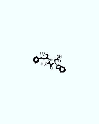 CCC(CCc1ccccc1)NC(C)C(=O)N(CC(=O)O)N1Cc2ccccc2C1